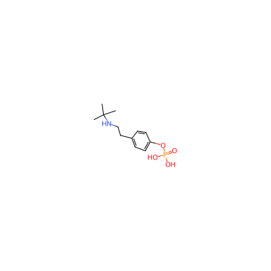 CC(C)(C)NCCc1ccc(OP(=O)(O)O)cc1